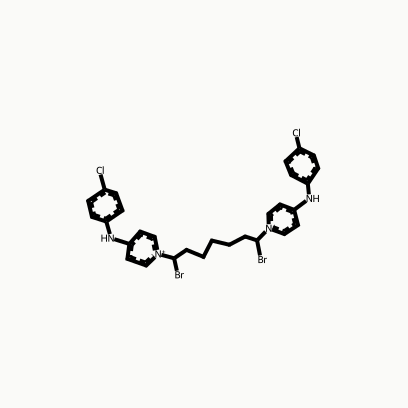 Clc1ccc(Nc2cc[n+](C(Br)CCCCCC(Br)[n+]3ccc(Nc4ccc(Cl)cc4)cc3)cc2)cc1